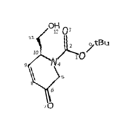 CC(C)(C)OC(=O)N1CC(=O)C=C[C@H]1CO